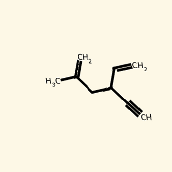 C#CC(C=C)CC(=C)C